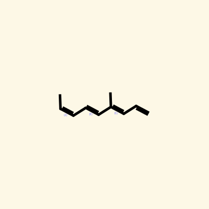 C=C/C=C(C)/C=C/C=C\C